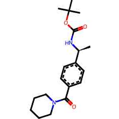 C[C@H](NC(=O)OC(C)(C)C)c1ccc(C(=O)N2CCCCC2)cc1